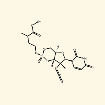 CC(C)OC(=O)C(C)CCO[P@@]1(=O)OC[C@H]2O[C@@H](n3ccc(=O)[nH]c3=O)[C@](C)(N=[N+]=[N-])[C@@H]2O1